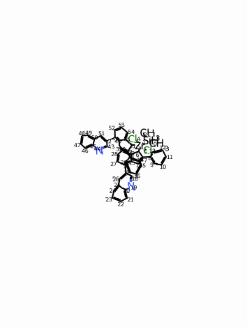 C[SiH](C)[Zr]([Cl])([Cl])([CH]1C(c2ccccc2)=Cc2c(-c3cnc4ccccc4c3)cccc21)[CH]1C(c2ccccc2)=Cc2c(-c3cnc4ccccc4c3)cccc21